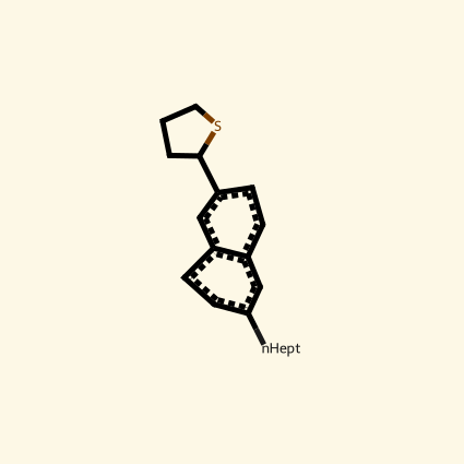 CCCCCCCc1ccc2cc(C3CCCS3)ccc2c1